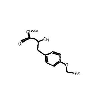 COC(=O)C(O)Cc1ccc(OCC(C)=O)cc1